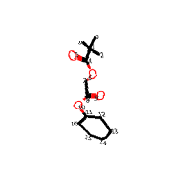 CC(C)(C)C(=O)OCC(=O)OC1CCCCC1